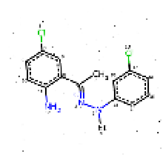 CCN(/N=C(\C)c1cc(Cl)ccc1N)c1cccc(Cl)c1